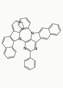 c1ccc(-c2nc(-n3c4ccccc4c4ccc5ccccc5c43)c3c(n2)c2cc4ccccc4cc2n3-c2ccccc2)cc1